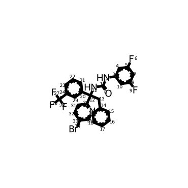 O=C(Nc1cc(F)cc(F)c1)NC(Cc1ccccc1)(c1cccc(C(F)(F)F)c1)c1ccc(Br)cn1